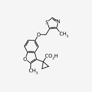 Cc1ncsc1COc1ccc2oc(C)c(C3(C(=O)O)CC3)c2c1